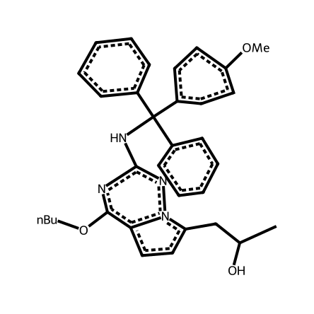 CCCCOc1nc(NC(c2ccccc2)(c2ccccc2)c2ccc(OC)cc2)nn2c(CC(C)O)ccc12